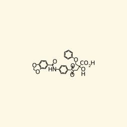 O=C(Nc1ccc(S(=O)(=O)CC(O)(COc2ccccc2)C(=O)O)cc1)c1ccc2c(c1)OCO2